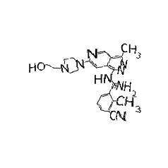 Cc1c(C#N)cccc1[C@@H](N)Nc1nnc(C)c2cnc(N3CCN(CCO)CC3)cc12